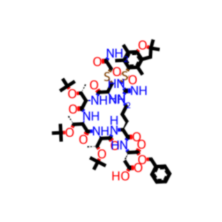 Cc1c(C)c(S(=O)(=O)NC(=N)NCCC[C@H](NC(=O)[C@@H](NC(=O)[C@@H](NC(=O)[C@@H](NC(=O)[C@@H](N)CSCC(N)=O)[C@@H](C)OC(C)(C)C)[C@@H](C)OC(C)(C)C)[C@@H](C)OC(C)(C)C)C(=O)N[C@@H](CC(=O)O)C(=O)OCc2ccccc2)c(C)c2c1OC(C)(C)C2